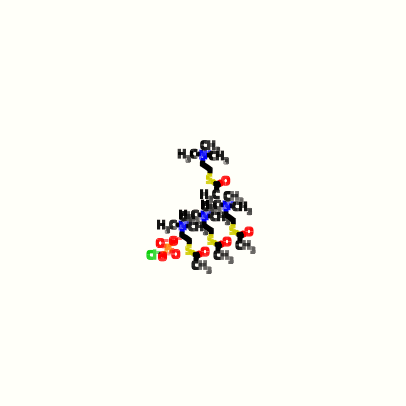 CC(=O)SCC[N+](C)(C)C.CC(=O)SCC[N+](C)(C)C.CC(=O)SCC[N+](C)(C)C.CC(=O)SCC[N+](C)(C)C.O=P([O-])([O-])[O-].[Cl-]